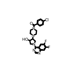 O=C(c1ccc(Cl)cc1)N1CCN(C2CN(c3ncnc4cc(F)c(F)cc34)CC2O)CC1